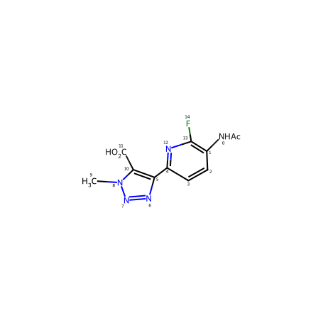 CC(=O)Nc1ccc(-c2nnn(C)c2C(=O)O)nc1F